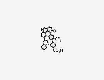 O=C(O)c1ccc(-c2ccc(-n3c(=O)ccc4cnc5ccc(-c6cnc7ccccc7c6)cc5c43)cc2C(F)(F)F)cc1